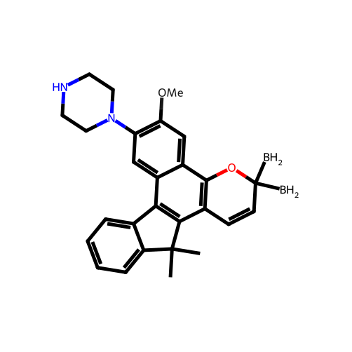 BC1(B)C=Cc2c3c(c4cc(N5CCNCC5)c(OC)cc4c2O1)-c1ccccc1C3(C)C